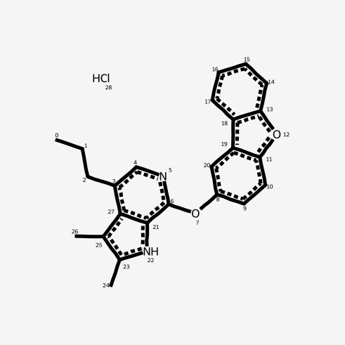 CCCc1cnc(Oc2ccc3oc4ccccc4c3c2)c2[nH]c(C)c(C)c12.Cl